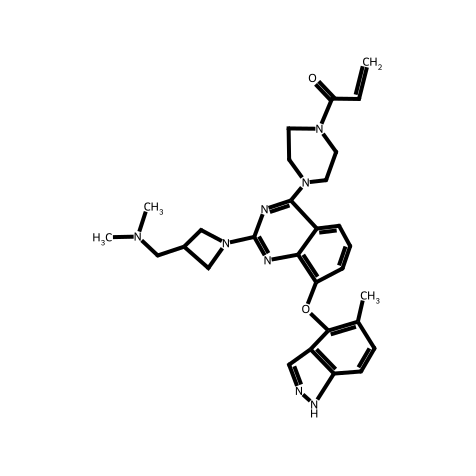 C=CC(=O)N1CCN(c2nc(N3CC(CN(C)C)C3)nc3c(Oc4c(C)ccc5[nH]ncc45)cccc23)CC1